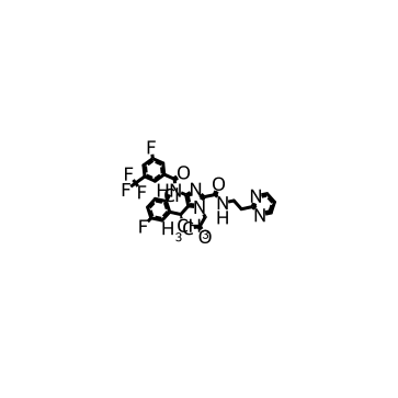 CC(=O)Cn1c(C(=O)NCCc2ncccn2)nc(NC(=O)c2cc(F)cc(C(F)(F)F)c2)c1[C@@H](C)c1cc(F)ccc1Cl